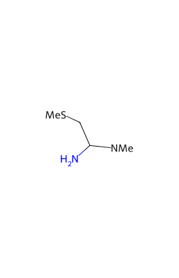 CNC(N)CSC